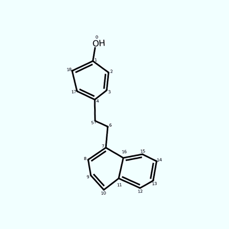 Oc1ccc([CH]Cc2cccc3ccccc23)cc1